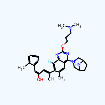 C/C(=C\C(O)=C/c1ccccc1C)c1c(C)cc2c(N3CC4CCC(C3)N4)nc(OCCCN(C)C)nc2c1F